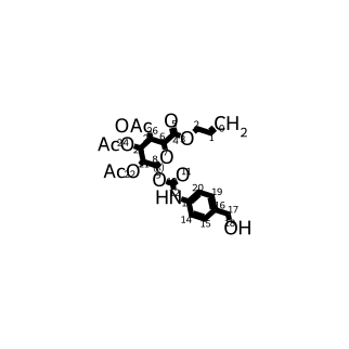 C=CCOC(=O)C1O[C@H](OC(=O)Nc2ccc(CO)cc2)C(OC(C)=O)C(OC(C)=O)C1OC(C)=O